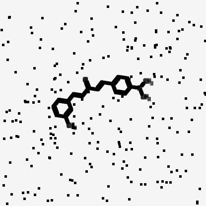 Cc1cccc(C=CC(=O)C=Cc2ccc(N(C)C)cc2)c1